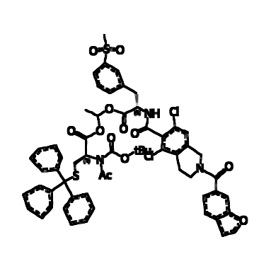 CC(=O)N(C(=O)OC(C)(C)C)[C@@H](CSC(c1ccccc1)(c1ccccc1)c1ccccc1)C(=O)OC(C)OC(=O)[C@H](Cc1cccc(S(C)(=O)=O)c1)NC(=O)c1c(Cl)cc2c(c1Cl)CCN(C(=O)c1ccc3ccoc3c1)C2